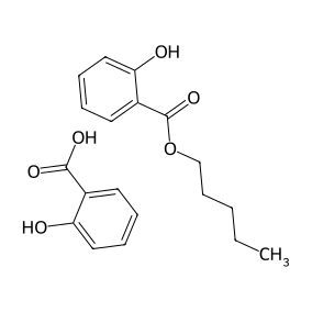 CCCCCOC(=O)c1ccccc1O.O=C(O)c1ccccc1O